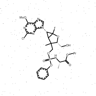 COc1nc(Cl)nc2c1ncn2[C@H]1C2C(C)(COP(=O)(N[C@@H](C)C(=O)OC(C)C)Oc3ccccc3)[C@@H](CO)OC21F